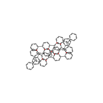 O=S12(c3cc(-c4ccccc4N(c4ccccc4)c4ccccc4)ccc3-c3ccc(-c4ccccc4N(c4ccccc4)c4ccccc4)cc31)c1cc(-c3ccccc3N(c3ccccc3)c3ccccc3)ccc1-c1ccc(-c3ccccc3N(c3ccccc3)c3ccccc3)cc12